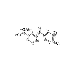 COC(=O)c1cc(Nc2ccc(Cl)c(Cl)c2)ncn1